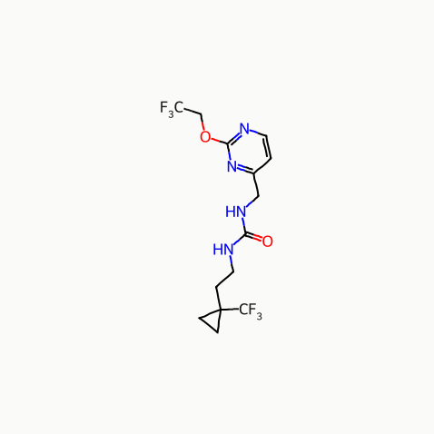 O=C(NCCC1(C(F)(F)F)CC1)NCc1ccnc(OCC(F)(F)F)n1